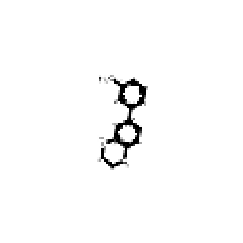 Cc1c[c]cc(-c2ccc3c(c2)OCCO3)c1